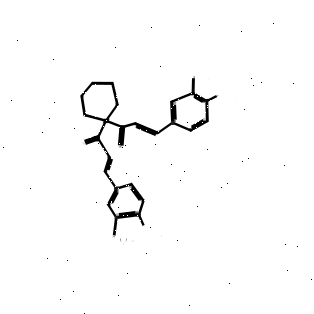 COc1cc(/C=C/C(=O)C2(C(=O)/C=C/c3ccc(C)c(C)c3)CCCCC2)ccc1C